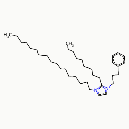 CCCCCCCCCCCCCCCCCn1cc[n+](CCCc2ccccc2)c1CCCCCCCCC